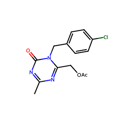 CC(=O)OCc1nc(C)nc(=O)n1Cc1ccc(Cl)cc1